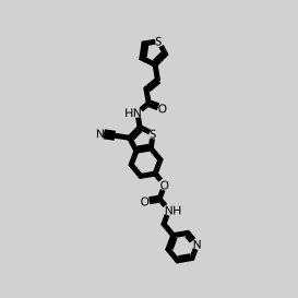 N#Cc1c(NC(=O)C=Cc2ccsc2)sc2c1CCC(OC(=O)NCc1cccnc1)C2